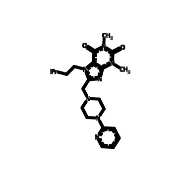 CC(C)CCn1c(CN2CCN(c3ccccn3)CC2)nc2c1c(=O)n(C)c(=O)n2C